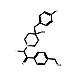 CCC(C(=O)c1ccc(CO)cc1)N1CCC(O)(Cc2ccc(Cl)cc2)CC1